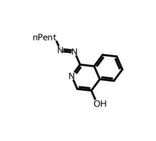 CCCCCN=Nc1ncc(O)c2ccccc12